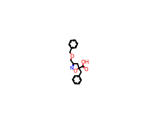 O=C(O)C1(Cc2ccccc2)CC(COCc2ccccc2)=NO1